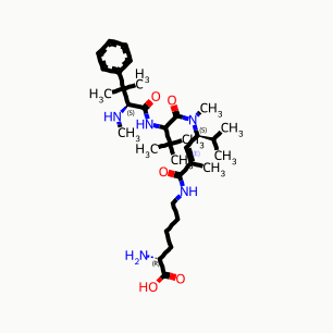 CN[C@H](C(=O)NC(C(=O)N(C)[C@H](/C=C(\C)C(=O)NCCCC[C@@H](N)C(=O)O)C(C)C)C(C)(C)C)C(C)(C)c1ccccc1